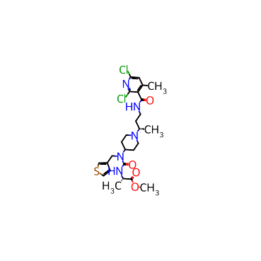 COC(=O)[C@H](C)NC(=O)N(Cc1ccsc1)C1CCN([C@H](C)CCNC(=O)c2c(C)cc(Cl)nc2Cl)CC1